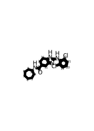 O=C(NC1CCCCCC1)C1=Cc2nc(Nc3c(Cl)cccc3Cl)[nH]c2CC1